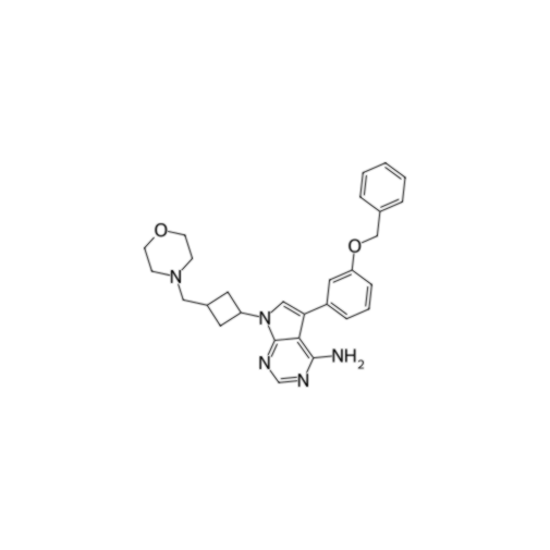 Nc1ncnc2c1c(-c1cccc(OCc3ccccc3)c1)cn2C1CC(CN2CCOCC2)C1